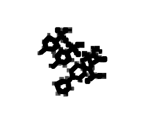 Cc1ccc(S(=O)(=O)O)cc1.Cc1ccc(S(=O)(=O)O)cc1.NC1C(=O)N2C(C(=O)O)C3(CCN(c4ccccc4)CC3)S[C@H]12